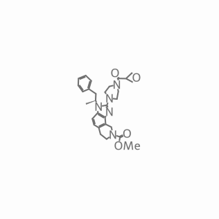 COC(=O)N1CCc2ccc3c(nc(N4CCN(C(=O)C5COC5)CC4)n3[C@@H](C)Cc3ccccc3)c2C1